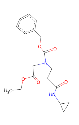 CCOC(=O)CN(CCC(=O)NC1CC1)C(=O)OCc1ccccc1